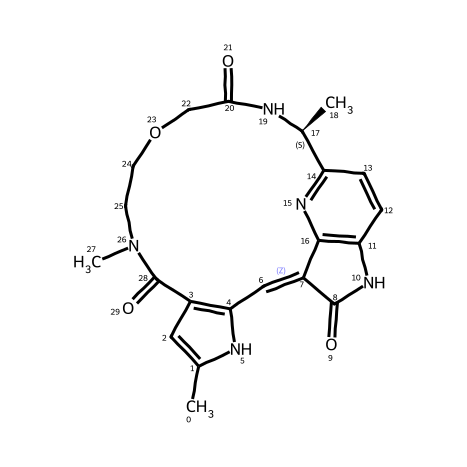 Cc1cc2c([nH]1)/C=C1\C(=O)Nc3ccc(nc31)[C@H](C)NC(=O)COCCN(C)C2=O